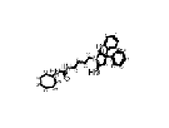 N=C1CC(c2ccccc2)(c2ccccc2)C(=O)N1CCCCNC(=O)NC1CCCCCC1